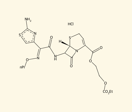 CCCON=C(C(=O)NC1C(=O)N2C(C(=O)OCCOC(=O)OCC)=CCS[C@@H]12)c1csc(N)n1.Cl